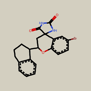 O=C1NC(=O)C2(CC(C3CCCc4ccccc43)Oc3ccc(Br)cc32)N1